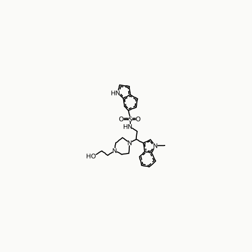 Cn1cc(C(CNS(=O)(=O)c2ccc3cc[nH]c3c2)N2CCN(CCO)CC2)c2ccccc21